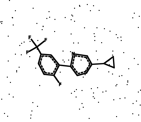 Fc1ccc(C(F)(F)F)cc1-c1ccc(C2CC2)cn1